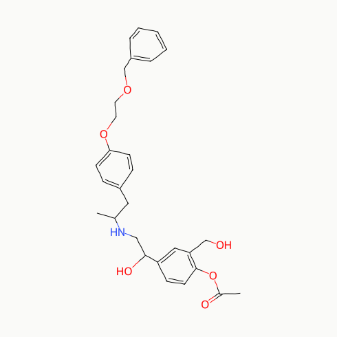 CC(=O)Oc1ccc(C(O)CNC(C)Cc2ccc(OCCOCc3ccccc3)cc2)cc1CO